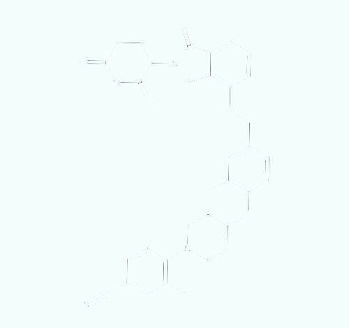 N#Cc1ccc(N2CCC(Sc3ccc(COc4cccc5c4CN(C4CCC(=O)NC4=O)C5=O)cc3F)CC2)c(F)c1